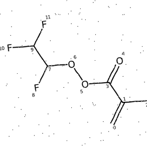 C=C(C)C(=O)OOC(F)C(F)F